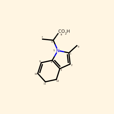 Cc1cc2c(n1C(C)C(=O)O)C=CCC2